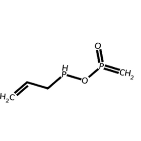 C=CCPOP(=C)=O